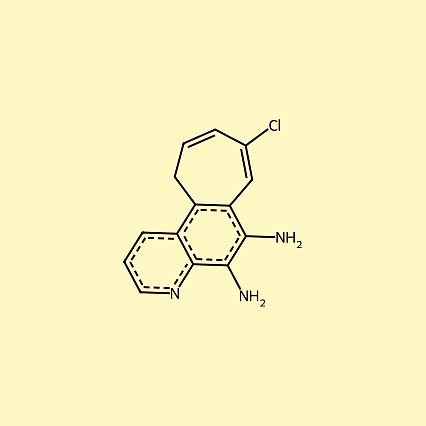 Nc1c2c(c3cccnc3c1N)CC=CC(Cl)=C2